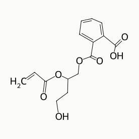 C=CC(=O)OC(CCO)COC(=O)c1ccccc1C(=O)O